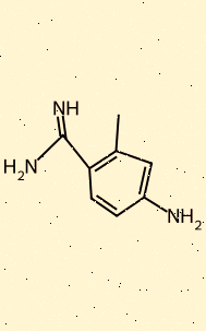 Cc1cc(N)ccc1C(=N)N